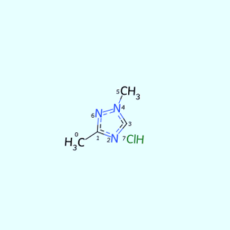 Cc1ncn(C)n1.Cl